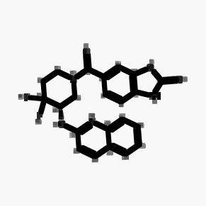 O=C(c1ccc2[nH]c(=O)oc2c1)N1CCC(F)(F)[C@@H](Oc2ccc3ccccc3n2)C1